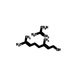 C=C(C)C(=O)O.CC(C)=CCC/C(C)=C/CO